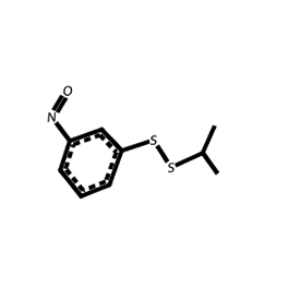 CC(C)SSc1cccc(N=O)c1